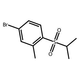 Cc1cc(Br)ccc1S(=O)(=O)C(C)C